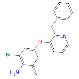 NC1=C(Br)C=C(Oc2cccnc2Cc2ccccc2)CC1=S